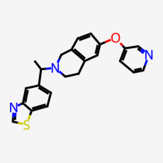 CC(c1ccc2scnc2c1)N1CCc2cc(Oc3cccnc3)ccc2C1